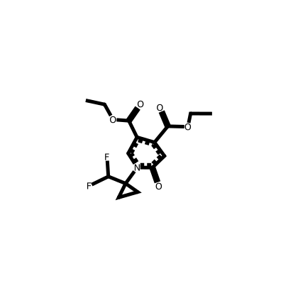 CCOC(=O)c1cc(=O)n(C2(C(F)F)CC2)cc1C(=O)OCC